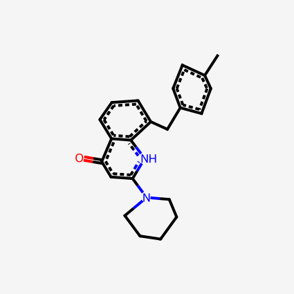 Cc1ccc(Cc2cccc3c(=O)cc(N4CCCCC4)[nH]c23)cc1